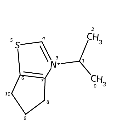 CC(C)[n+]1csc2c1CCC2